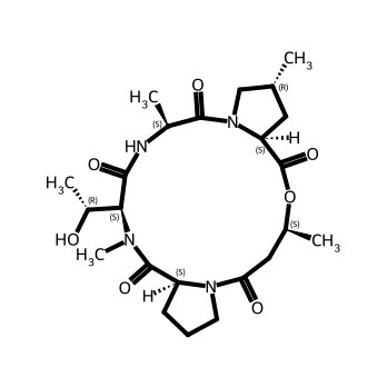 C[C@@H]1C[C@H]2C(=O)O[C@@H](C)CC(=O)N3CCC[C@H]3C(=O)N(C)[C@@H]([C@@H](C)O)C(=O)N[C@@H](C)C(=O)N2C1